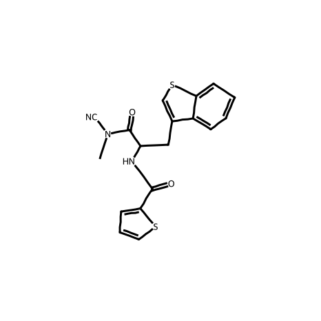 CN(C#N)C(=O)C(Cc1csc2ccccc12)NC(=O)c1cccs1